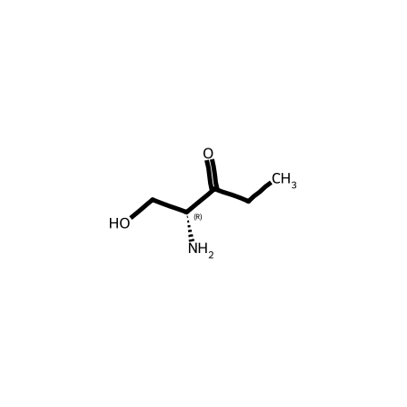 CCC(=O)[C@H](N)CO